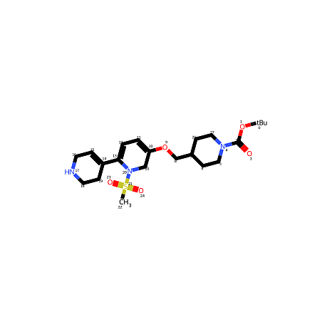 CC(C)(C)OC(=O)N1CCC(COC2=CC=C(C3=CCNCC3)N(S(C)(=O)=O)C2)CC1